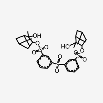 CC1(C)C2CC(OS(=O)(=O)c3cccc(S(=O)(=O)c4cccc(S(=O)(=O)OC5CC6CC(C6(C)C)C5(C)O)c4)c3)C(C)(O)C1C2